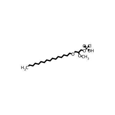 CCCCCCCCCCCCCCCCOCC(COP(=O)(O)Cl)OC